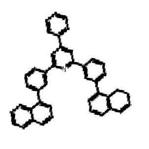 C1=Cc2cccc(-c3cccc(-c4cc(-c5ccccc5)cc(-c5cccc(-c6cccc7ccccc67)c5)n4)c3)c2CC1